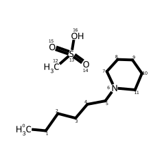 CCCCCCN1CCCCC1.CS(=O)(=O)O